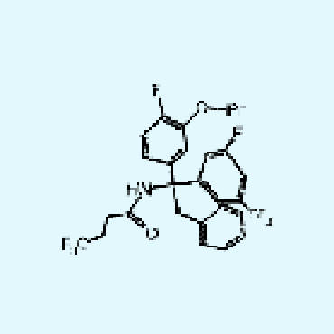 CC(C)Oc1cc([C@@](Cc2ccccc2)(NC(=O)CCC(F)(F)F)c2cc(F)cc(C(F)(F)F)c2)ccc1F